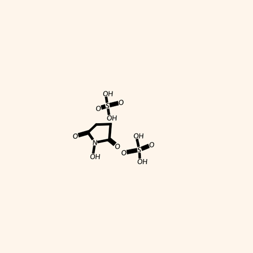 O=C1CCC(=O)N1O.O=S(=O)(O)O.O=S(=O)(O)O